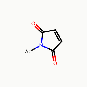 CC(=O)N1C(=O)C=CC1=O